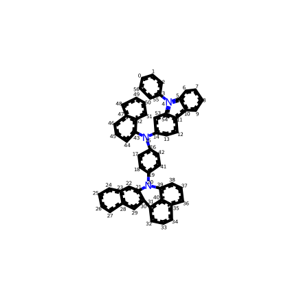 c1ccc(-n2c3ccccc3c3ccc(N(c4ccc(N5c6cc7ccccc7cc6-c6cccc7cccc5c67)cc4)c4cccc5ccccc45)cc32)cc1